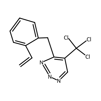 C=Cc1ccccc1Cc1nnncc1C(Cl)(Cl)Cl